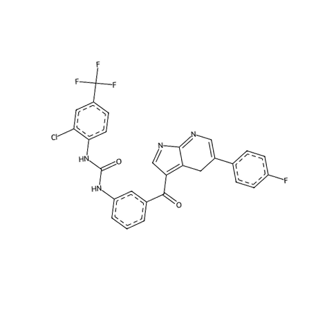 O=C(Nc1cccc(C(=O)C2=C3CC(c4ccc(F)cc4)=CN=C3N=C2)c1)Nc1ccc(C(F)(F)F)cc1Cl